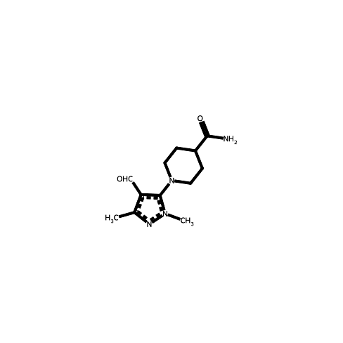 Cc1nn(C)c(N2CCC(C(N)=O)CC2)c1C=O